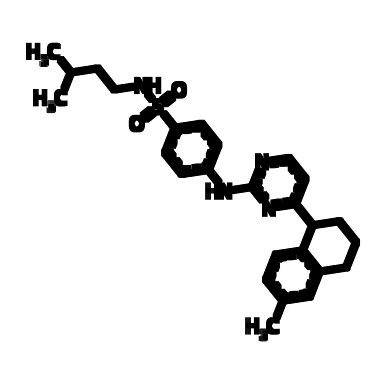 Cc1ccc2c(c1)CCCC2c1ccnc(Nc2ccc(S(=O)(=O)NCCC(C)C)cc2)n1